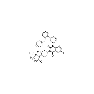 CC(C)(C)N(C(=O)O)C1CCC(n2c(=O)c3cc(F)cnc3n(-c3cccc(-c4ccccc4CN4CCOCC4)c3)c2=O)CC1